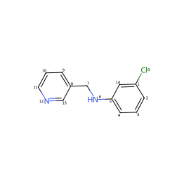 Clc1cccc(NCc2cccnc2)c1